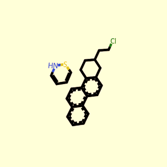 C1=CNSC=C1.ClCCC1CCc2c(ccc3c2ccc2ccccc23)C1